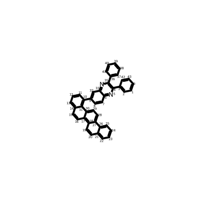 c1ccc(-c2nc3ccc(-c4cccc5ccc6c7ccc8ccccc8c7ccc6c45)cc3nc2-c2ccccc2)cc1